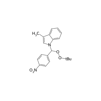 Cc1cn(C(OOC(C)(C)C)c2ccc([N+](=O)[O-])cc2)c2ccccc12